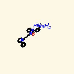 N=C(N)c1cccc(-c2nc3ccccc3n(CCCCCN3CCCCC3c3ccccc3)c2=O)c1